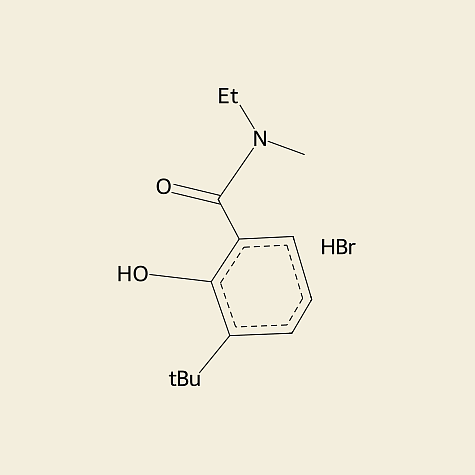 Br.CCN(C)C(=O)c1cccc(C(C)(C)C)c1O